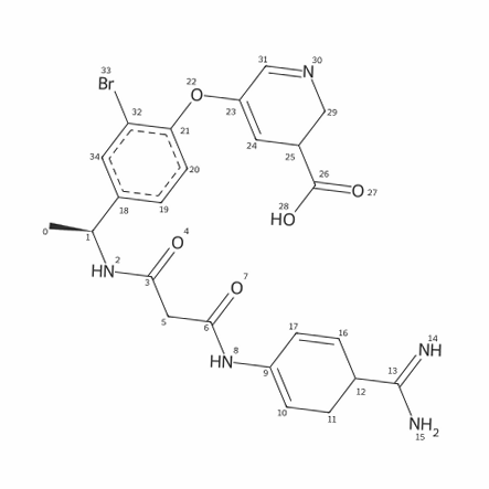 C[C@H](NC(=O)CC(=O)NC1=CCC(C(=N)N)C=C1)c1ccc(OC2=CC(C(=O)O)CN=C2)c(Br)c1